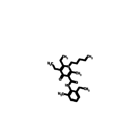 CCCCCn1c(C)c(C(=O)Nc2c(C)cccc2CC)c(=O)c(CC)c1CC